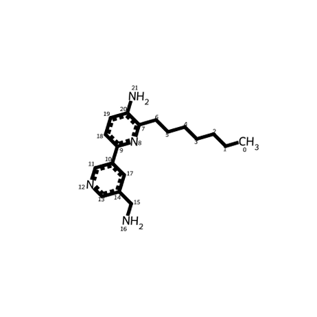 CCCCCCCc1nc(-c2cncc(CN)c2)ccc1N